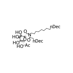 CCCCCCCCCCCCCCCCCCN(C(=O)CCCCCCCCCCC)C(=O)[C@@H]1O[C@H](C(O)C(C)=O)[C@@H](O)[C@H](O)[C@H]1O